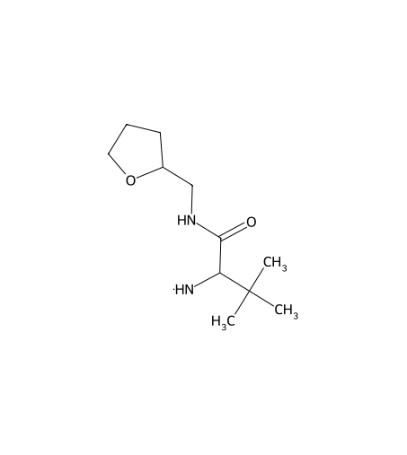 CC(C)(C)C([NH])C(=O)NCC1CCCO1